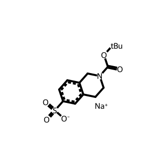 CC(C)(C)OC(=O)N1CCc2cc(S(=O)(=O)[O-])ccc2C1.[Na+]